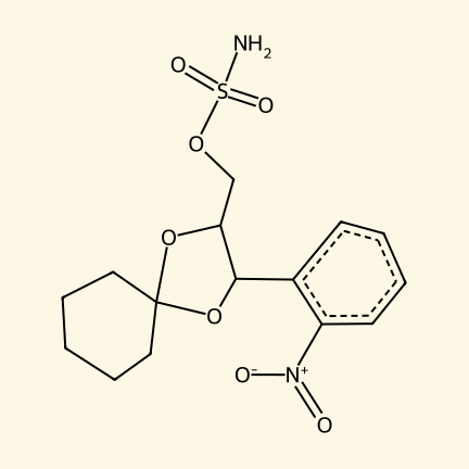 NS(=O)(=O)OCC1OC2(CCCCC2)OC1c1ccccc1[N+](=O)[O-]